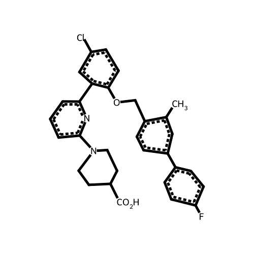 Cc1cc(-c2ccc(F)cc2)ccc1COc1ccc(Cl)cc1-c1cccc(N2CCC(C(=O)O)CC2)n1